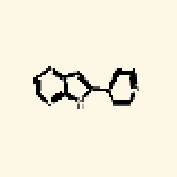 c1cc(-c2cc3nccnc3[nH]2)ccn1